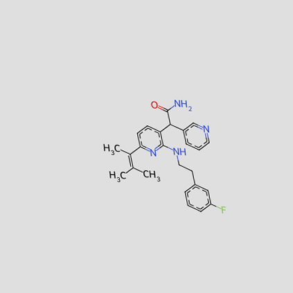 CC(C)=C(C)c1ccc(C(C(N)=O)c2cccnc2)c(NCCc2cccc(F)c2)n1